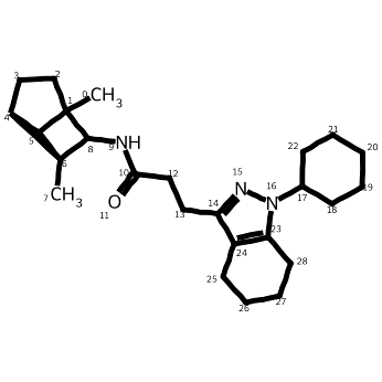 CC12CCC3C1C3(C)C2NC(=O)CCc1nn(C2CCCCC2)c2c1CCCC2